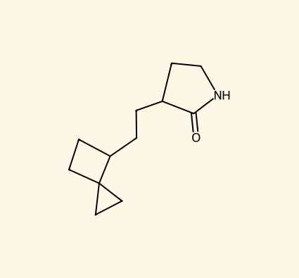 O=C1NCCC1CCC1CCC12CC2